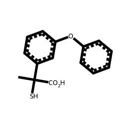 CC(S)(C(=O)O)c1cccc(Oc2ccccc2)c1